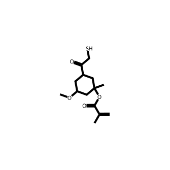 C=C(C)C(=O)OC1(C)CC(OC)CC(C(=O)CS)C1